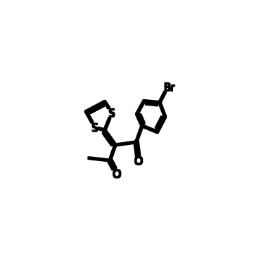 CC(=O)C(C(=O)c1ccc(Br)cc1)=C1SC=CS1